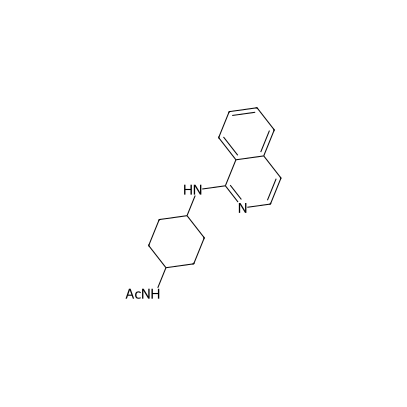 CC(=O)NC1CCC(Nc2nccc3ccccc23)CC1